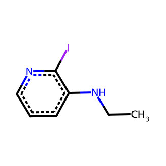 CCNc1cccnc1I